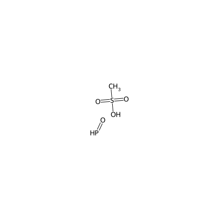 CS(=O)(=O)O.O=P